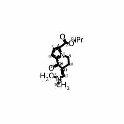 CC(C)OC(=O)c1ccc2n1CCC(=CN(C)C)C2=O